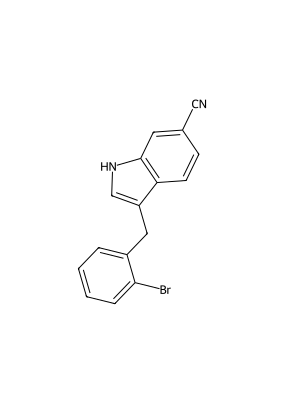 N#Cc1ccc2c(Cc3ccccc3Br)c[nH]c2c1